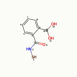 O=C(NS)c1ccccc1B(O)O